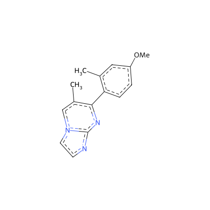 COc1ccc(-c2nc3nccn3cc2C)c(C)c1